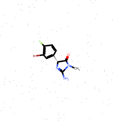 CN1C(=O)[C@@H](c2ccc(F)c(Br)c2)N=C1N